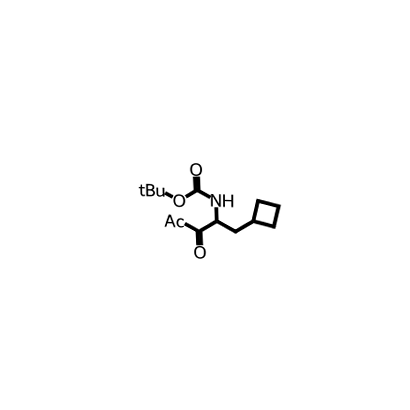 CC(=O)C(=O)C(CC1CCC1)NC(=O)OC(C)(C)C